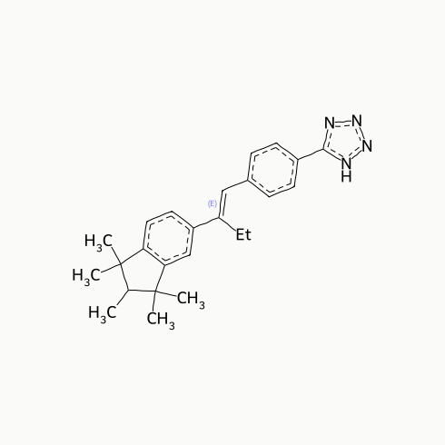 CC/C(=C\c1ccc(-c2nnn[nH]2)cc1)c1ccc2c(c1)C(C)(C)C(C)C2(C)C